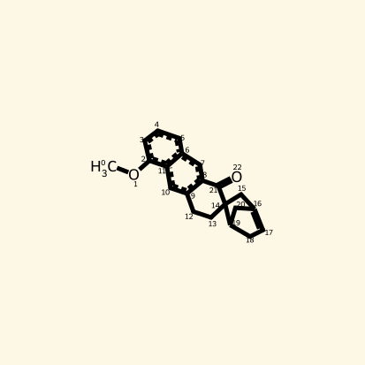 COc1cccc2cc3c(cc12)CCC1(CC2=CCC1C2)C3=O